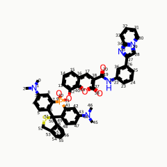 CN(C)c1ccc2c(c1)P(=O)(Oc1cccc3cc(C(=O)Nc4cccc(-c5cn6ccccc6n5)c4)c(=O)oc13)c1cc(N(C)C)ccc1C21SCc2ccccc21